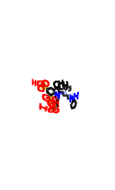 CC1(C)C(/C=C/C=C/Nc2ccccc2)=[N+](CCCS(=O)(=O)O)c2c1cc(S(=O)(=O)O)cc2S(=O)(=O)O